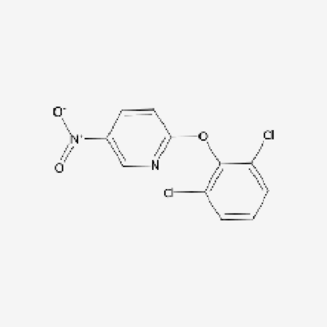 O=[N+]([O-])c1ccc(Oc2c(Cl)cccc2Cl)nc1